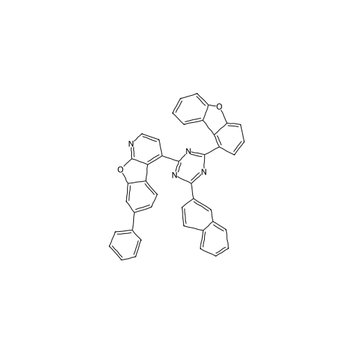 c1ccc(-c2ccc3c(c2)oc2nccc(-c4nc(-c5ccc6ccccc6c5)nc(-c5cccc6oc7ccccc7c56)n4)c23)cc1